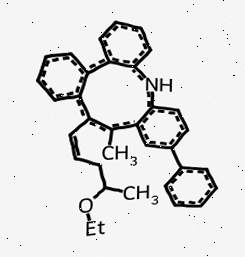 CCOC(C)C/C=C\c1c(C)c2cc(-c3ccccc3)ccc2[nH]c2ccccc2c2ccccc12